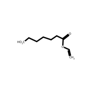 C=COC(=O)CCCCCC(=O)O